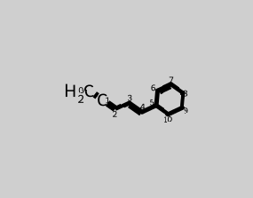 C=C=CC=CC1C=CCCC1